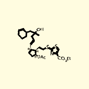 CCOC(=O)c1csc(SCC[C@H]2[C@@H](OC(C)=O)CC[C@@H]2C=CCC(C)(O)CC2CCCCC2)n1